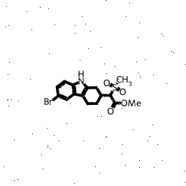 COC(=O)C(C1CCc2c([nH]c3ccc(Br)cc23)C1)S(C)(=O)=O